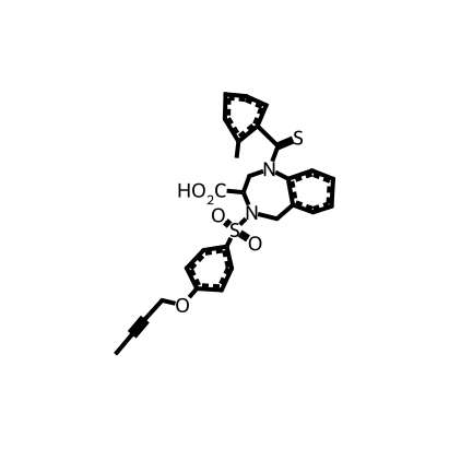 CC#CCOc1ccc(S(=O)(=O)N2Cc3ccccc3N(C(=S)c3ccccc3C)CC2C(=O)O)cc1